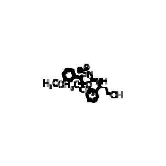 COc1cccc(C2C(C)(C)OC(N[C@@H](CCO)c3ccccc3)=NS2(=O)=O)c1